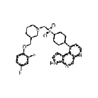 O=S(=O)(CN1CCCC(COc2ccc(F)cc2F)C1)C1CCC(c2ccnc3cnc4[nH]ccc4c23)CC1